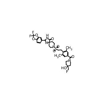 Cc1cc(C(=O)N2CCC(O)(CF)CC2)cc(C)c1CCS(=O)(=O)N1CCC2(CC1)N=C(c1ccc3c(c1)OC(F)(F)O3)NC2=O